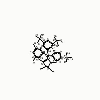 CC1=C(C)C(C)C([Si](c2ccc([Si](C)(C)C)cc2)(c2cc(C)cc(C)c2)c2cc(C(C)(C)C)cc(C(C)(C)C)c2)=C1C